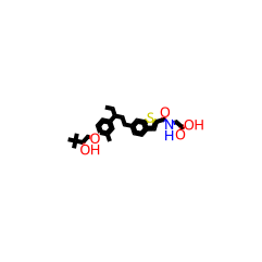 CCC(CCc1ccc2cc(C(=O)NCC(=O)O)sc2c1)c1ccc(OCC(O)C(C)(C)C)c(C)c1